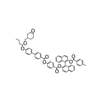 CCCC(OCC1CCC2OC2C1)Oc1ccc(-c2ccc(C(=O)Oc3ccc(C(=O)Oc4ccc5ccccc5c4-c4c(OC(=O)c5ccc(C)cc5)ccc5ccccc45)cc3)cc2)cc1